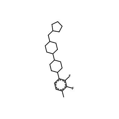 Cc1ccc(C2CCC(C3CCC(CC4CCCC4)CC3)CC2)c(F)c1F